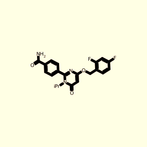 CC(C)n1c(-c2ccc(C(N)=O)cc2)nc(OCc2ccc(F)cc2F)cc1=O